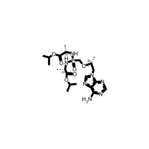 CC(C)OC(=O)[C@H](C)NP(=O)(CO[C@H](C)Cn1cnc2c(N)ncnc21)N[C@@H](C)C(=O)OC(C)C